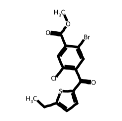 CCc1ccc(C(=O)c2cc(Br)c(C(=O)OC)cc2Cl)s1